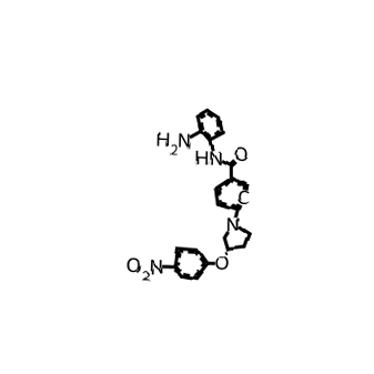 Nc1ccccc1NC(=O)c1ccc(N2CC[C@H](Oc3ccc([N+](=O)[O-])cc3)C2)cc1